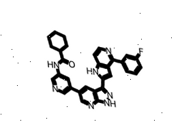 O=C(Nc1cncc(-c2cnc3[nH]nc(-c4cc5c(-c6cccc(F)c6)nccc5[nH]4)c3c2)c1)C1CCCCC1